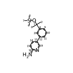 CC(C)(O[Si](C)(C)C)c1cccc(-c2ccc(N)nc2)c1